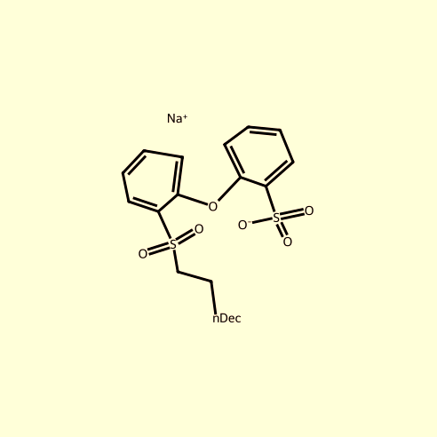 CCCCCCCCCCCCS(=O)(=O)c1ccccc1Oc1ccccc1S(=O)(=O)[O-].[Na+]